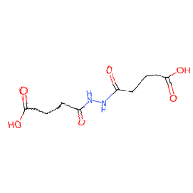 O=C(O)CCC(=O)NNC(=O)CCC(=O)O